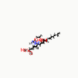 CC(O)CO.CCCCCCCCCCCCCCCCCC(=O)O.CNC